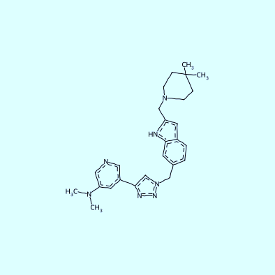 CN(C)c1cncc(-c2cn(Cc3ccc4cc(CN5CCC(C)(C)CC5)[nH]c4c3)nn2)c1